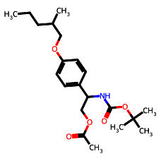 CCCC(C)COc1ccc(C(COC(C)=O)NC(=O)OC(C)(C)C)cc1